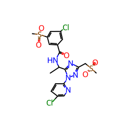 CC(NC(=O)c1cc(Cl)cc(S(C)(=O)=O)c1)c1nc(CS(C)(=O)=O)nn1-c1ccc(Cl)cn1